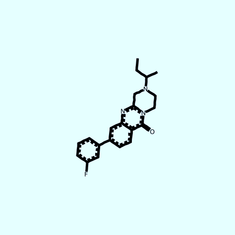 CCC(C)N1CCn2c(nc3cc(-c4cccc(F)c4)ccc3c2=O)C1